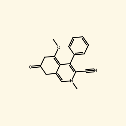 COC1=C2C(=CN(C)C(C#N)=C2c2ccccc2)CC(=O)C1